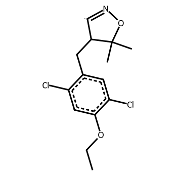 CCOc1cc(Cl)c(CC2[C]=NOC2(C)C)cc1Cl